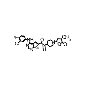 CC1CC(N2CCC(NC(=O)c3cc4c(Nc5ccc(F)c(Cl)c5)ncnc4s3)CC2)OC1=O